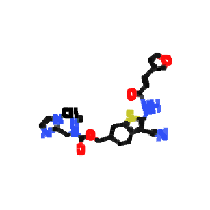 Cn1ccnc1CNC(=O)OCC1CCc2c(sc(NC(=O)C=Cc3ccoc3)c2C#N)C1